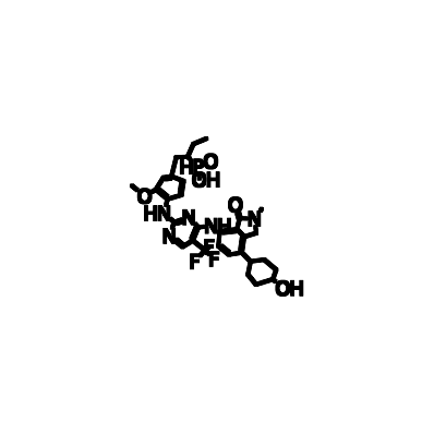 CCC(Cc1ccc(Nc2ncc(C(F)(F)F)c(Nc3ccc(C4CCC(O)CC4)c4c3C(=O)N(C)C4)n2)c(OC)c1)[PH](=O)O